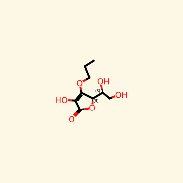 CCCOC1=C(O)C(=O)O[C@@H]1[C@@H](O)CO